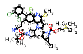 CSc1nc2c(F)c(-c3cccc(Cl)c3Cl)c(CCC#N)cc2c2c1cc([C@H]1CC3C(C)C3N1C(=O)OCCS(C)(C)C)n2[C@@H]1CN(C(=O)OC(C)(C)C)C[C@H]1C